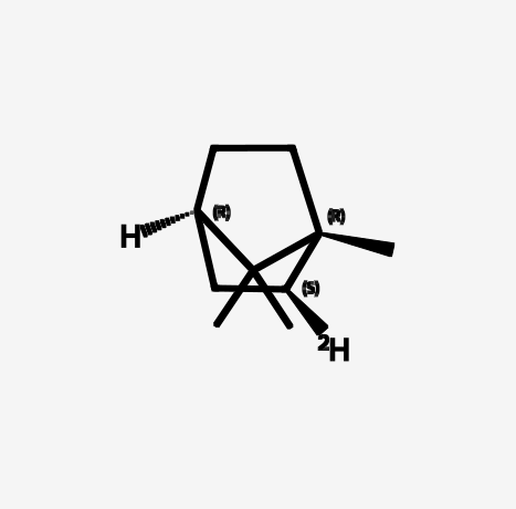 [2H][C@H]1C[C@H]2CC[C@@]1(C)C2(C)C